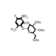 CC(=O)OC[C@H]1O[C@H](Oc2cc([N+](=O)[O-])c(F)cc2C)[C@@H](OC(C)=O)[C@@H](OC(C)=O)[C@@H]1OC(C)=O